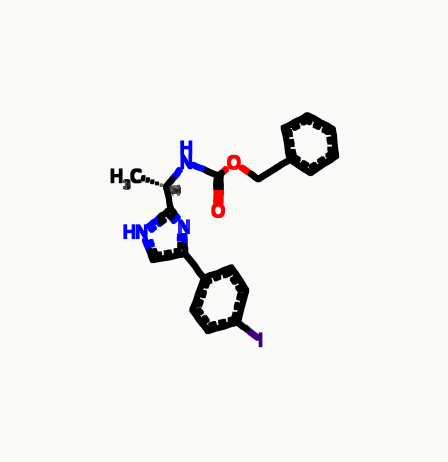 C[C@H](NC(=O)OCc1ccccc1)c1nc(-c2ccc(I)cc2)c[nH]1